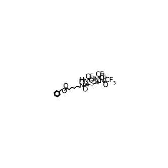 O=C(CCCCCNC(=O)[C@H](CSC[C@H](CNC(=O)C(F)(F)F)NC(=O)C(F)(F)F)NC(=O)C(F)(F)F)OCc1ccccc1